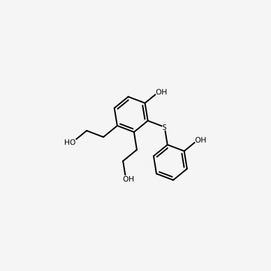 OCCc1ccc(O)c(Sc2ccccc2O)c1CCO